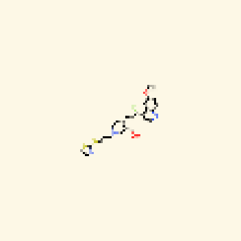 COc1ccc2nccc([C@@H](F)CC[C@@H]3CCN(CCCSc4nccs4)C[C@@H]3CO)c2c1